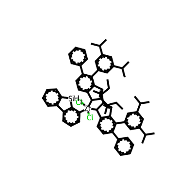 CCC(C)C1=Cc2c(ccc(-c3ccccc3)c2-c2cc(C(C)C)cc(C(C)C)c2)[CH]1[Zr]([Cl])([Cl])([c]1cccc2c1[SiH2]c1ccccc1-2)[CH]1C(C(C)CC)=Cc2c1ccc(-c1ccccc1)c2-c1cc(C(C)C)cc(C(C)C)c1